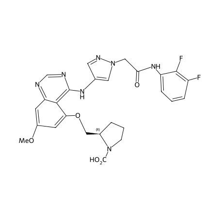 COc1cc(OC[C@H]2CCCN2C(=O)O)c2c(Nc3cnn(CC(=O)Nc4cccc(F)c4F)c3)ncnc2c1